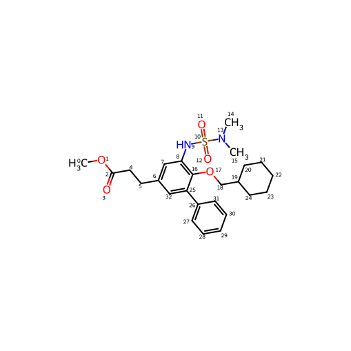 COC(=O)CCc1cc(NS(=O)(=O)N(C)C)c(OCC2CCCCC2)c(-c2ccccc2)c1